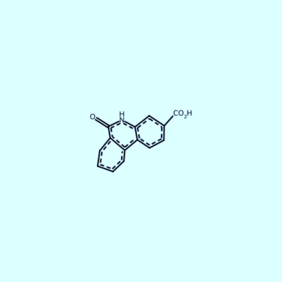 O=C(O)c1ccc2c(c1)[nH]c(=O)c1ccccc12